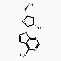 CC[C@H]1C[C@@H](CO)O[C@H]1n1ccc2c(N)ncnc21